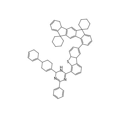 C1=CCCC(C2CC=C(C3N=C(c4ccccc4)N=C(c4cccc5c4SC4C=CC(c6cccc7c6-c6cc8c(cc6C76CCCCC6)C6CC=CC=C6C86CCCCC6)=CC54)N3)CC2)=C1